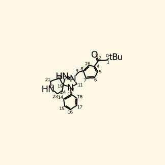 CC(C)(C)CC(=O)c1cccc(CN2CN(c3ccccc3)C3(CCNCC3)N2)c1